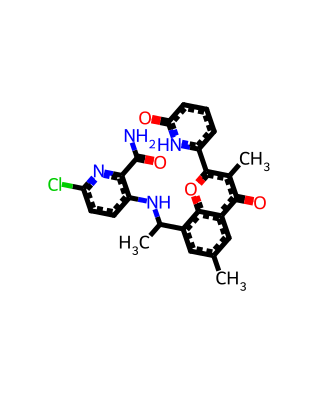 Cc1cc(C(C)Nc2ccc(Cl)nc2C(N)=O)c2oc(-c3cccc(=O)[nH]3)c(C)c(=O)c2c1